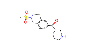 CS(=O)(=O)N1CCc2cc(C(=O)C3CCCNC3)ccc2C1